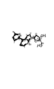 Cc1ccc(-c2ccnc3c2ccn3[C@H]2C[C@H](O)[C@@H](CO)O2)s1